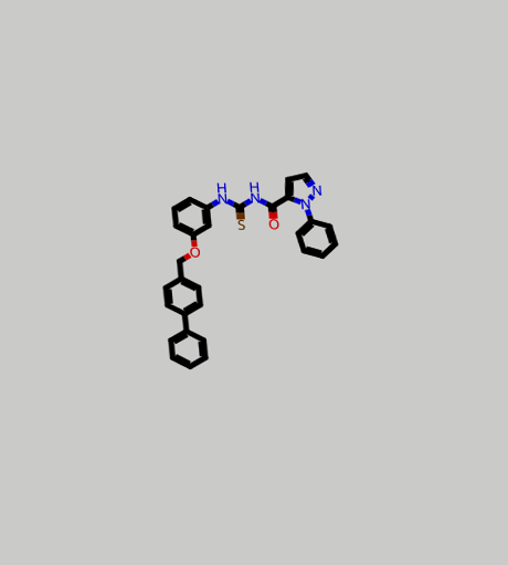 O=C(NC(=S)Nc1cccc(OCc2ccc(-c3ccccc3)cc2)c1)c1ccnn1-c1ccccc1